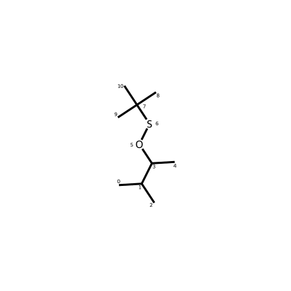 CC(C)C(C)OSC(C)(C)C